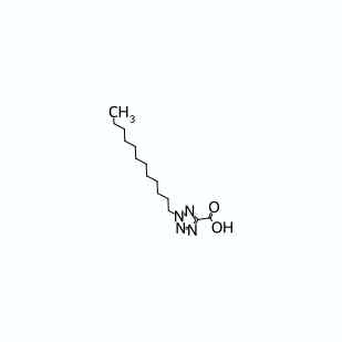 CCCCCCCCCCCCn1nnc(C(=O)O)n1